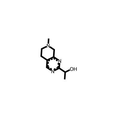 CC(O)c1ncc2c(n1)CN(C)CC2